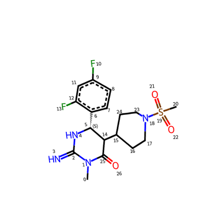 CN1C(=N)N[C@H](c2ccc(F)cc2F)C(C2CCN(S(C)(=O)=O)CC2)C1=O